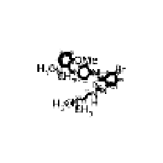 COc1cccc(N(C)C)c1CN1CCC(Nc2nc(NCCCN(C)C)nc3ccc(Br)cc23)CC1